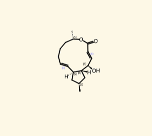 C[C@@H]1C[C@H]2[C@H](O)/C=C/C(=O)O[C@@H](C)CCC/C=C/[C@@H]2C1